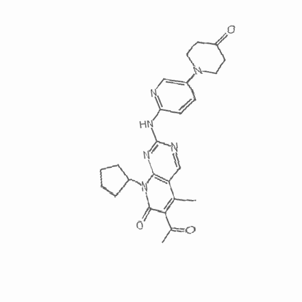 CC(=O)c1c(C)c2cnc(Nc3ccc(N4CCC(=O)CC4)cn3)nc2n(C2CCCC2)c1=O